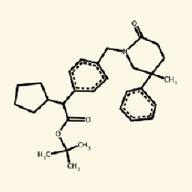 CC(C)(C)OC(=O)C(c1ccc(CN2CC(C)(c3ccccc3)CCC2=O)cc1)C1CCCC1